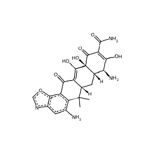 CC1(C)c2c(N)cc3ncoc3c2C(=O)C2=C(O)[C@]3(O)C(=O)C(C(N)=O)=C(O)[C@@H](N)[C@@H]3C[C@@H]21